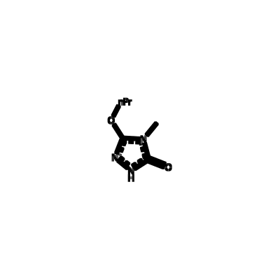 CCCOc1n[nH]c(=O)n1C